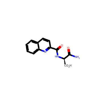 NC(=O)[C@H](NC(=O)c1ccc2ccccc2n1)C(=O)O